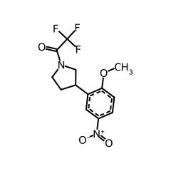 COc1ccc([N+](=O)[O-])cc1C1CCN(C(=O)C(F)(F)F)C1